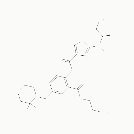 COCCNC(=O)c1cc(CN2CCOCC2(C)C)ccc1NC(=O)c1coc(N(C)[C@H](C)COC)n1